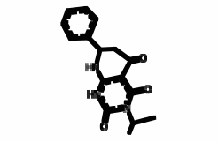 CC(C)n1c(=O)[nH]c2c(c1=O)C(=O)CC(c1ccccc1)N2